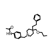 CCCOCC1(CCc2ccccc2)CCN(Cc2ccc(NC(C)=O)cc2)CC1